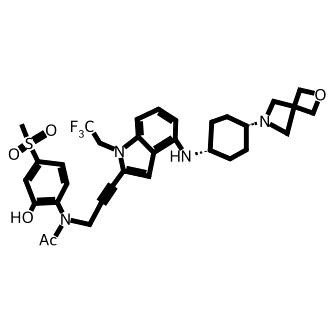 CC(=O)N(CC#Cc1cc2c(N[C@H]3CC[C@@H](N4CC5(COC5)C4)CC3)cccc2n1CC(F)(F)F)c1ccc(S(C)(=O)=O)cc1O